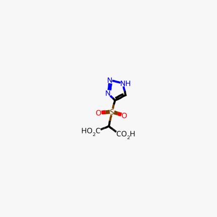 O=C(O)C(C(=O)O)S(=O)(=O)c1c[nH]nn1